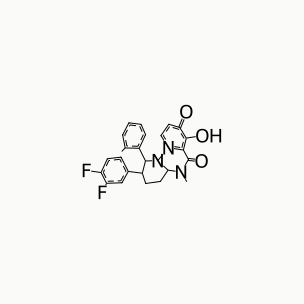 Cc1ccccc1C1C(c2ccc(F)c(F)c2)CCC2N(C)C(=O)c3c(O)c(=O)ccn3N12